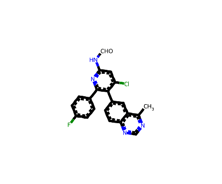 Cc1ncnc2ccc(-c3c(Cl)cc(NC=O)nc3-c3ccc(F)cc3)cc12